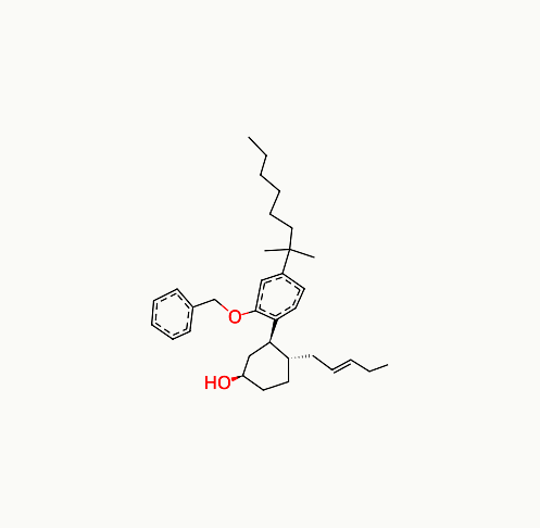 CCC=CC[C@@H]1CC[C@@H](O)C[C@H]1c1ccc(C(C)(C)CCCCCC)cc1OCc1ccccc1